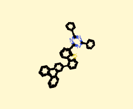 c1ccc(-c2nc(-c3ccccc3)nc(-c3cccc4c3sc3cccc(-c5ccc6c7ccccc7c7ccccc7c6c5)c34)n2)cc1